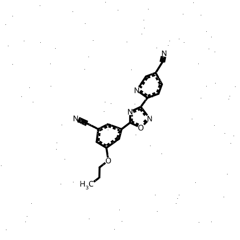 CCCOc1cc(C#N)cc(-c2nc(-c3ccc(C#N)cn3)no2)c1